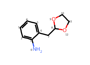 Nc1ccccc1C[C]1OCCO1